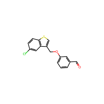 O=Cc1cccc(OCc2csc3ccc(Cl)cc23)c1